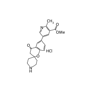 COC(=O)c1cc(-c2ccc3c(c2)C(=O)CC2(CCNCC2)O3)cnc1C.Cl